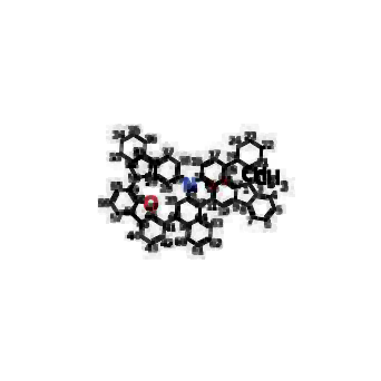 CC1(C)c2ccccc2-c2cc(-c3c(N(c4ccc(C5CCCCC5)cc4)c4ccc(C5CCCCC5)cc4)cc(-c4cccc5c4oc4c(C6CCCC6)cccc45)c4ccccc34)ccc21